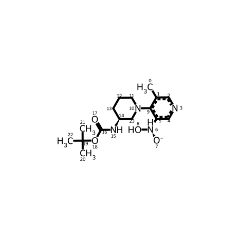 Cc1cncc([N@@H+]([O-])O)c1N1CCC[C@H](NC(=O)OC(C)(C)C)C1